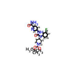 CC(C)(C)OC(=O)N1CCC(N(C(=O)Nc2ccc(C(N)=O)nc2)c2cccc(F)c2)CC1